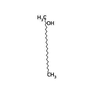 CCCCCCCCCCCCCCCCCCCCCCCCC(O)CCC